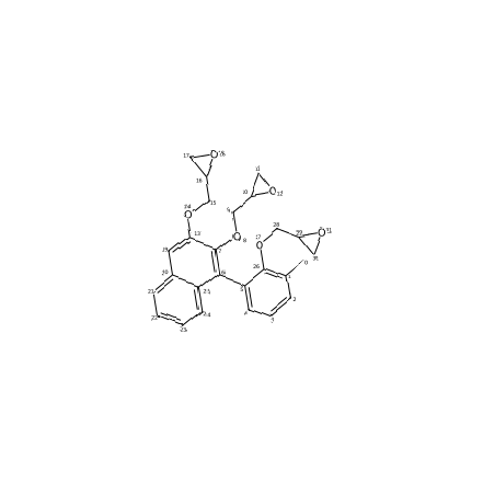 Cc1cccc(-c2c(OCC3CO3)c(OCC3CO3)cc3ccccc23)c1OCC1CO1